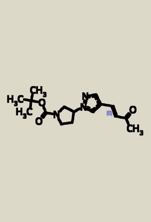 CC(=O)/C=C/c1cnn(C2CCN(C(=O)OC(C)(C)C)C2)c1